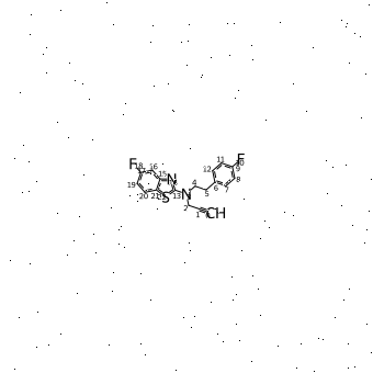 C#CCN(CCc1ccc(F)cc1)c1nc2cc(F)ccc2s1